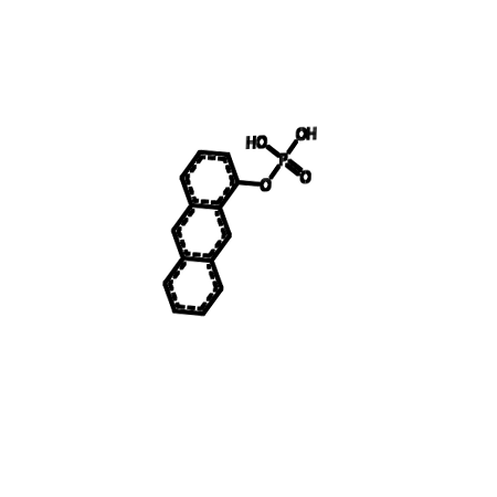 O=P(O)(O)Oc1cccc2cc3ccccc3cc12